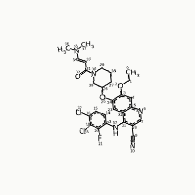 CCOc1cc2ncc(C#N)c(Nc3ccc(Cl)c(Cl)c3F)c2cc1OC1CCCN(C(=O)/C=C/N(C)C)C1